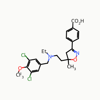 CCN(CCC1(C)CC(c2ccc(C(=O)O)cc2)=NO1)Cc1cc(Cl)c(OC(F)(F)F)c(Cl)c1